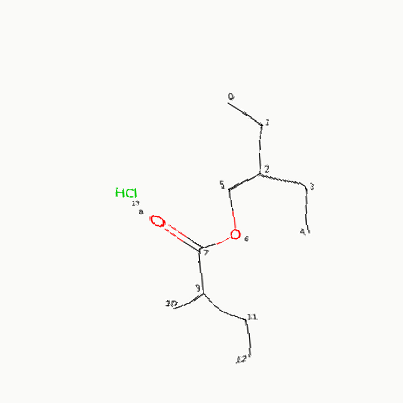 CCC(CC)COC(=O)C(C)CC.Cl